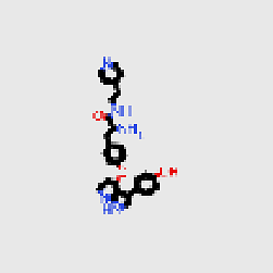 NC(Cc1ccc(Oc2ccnc3[nH]cc(-c4ccc(O)cc4)c23)cc1)C(=O)NCCc1ccncc1